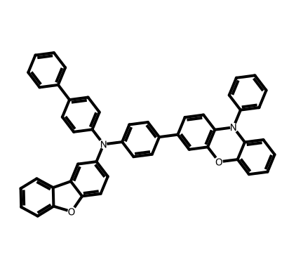 c1ccc(-c2ccc(N(c3ccc(-c4ccc5c(c4)Oc4ccccc4N5c4ccccc4)cc3)c3ccc4oc5ccccc5c4c3)cc2)cc1